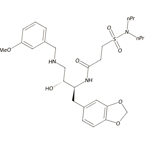 CCCN(CCC)S(=O)(=O)CCC(=O)N[C@@H](Cc1ccc2c(c1)OCO2)[C@H](O)CNCc1cccc(OC)c1